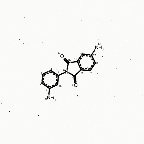 Nc1cccc(N2C(=O)c3ccc(N)cc3C2=O)c1